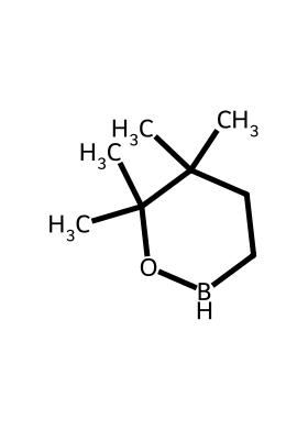 CC1(C)CCBOC1(C)C